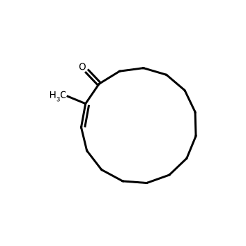 CC1=CCCCCCCCCCCCCC1=O